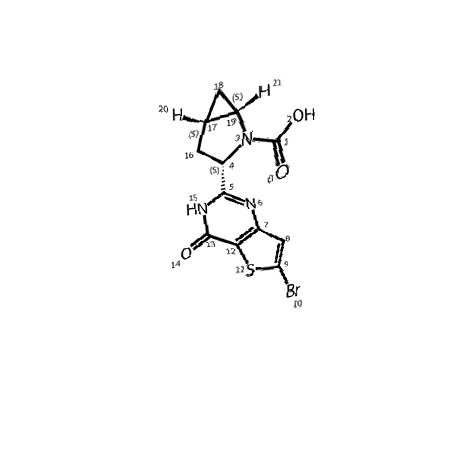 O=C(O)N1[C@H](c2nc3cc(Br)sc3c(=O)[nH]2)C[C@@H]2C[C@@H]21